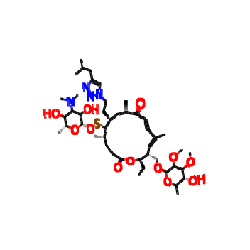 CC[C@H]1OC(=O)CC[C@H](C)C(SO[C@@H]2O[C@H](C)[C@@H](O)C(N(C)C)C2O)[C@@H](CCn2cc(CC(C)C)nn2)C[C@@H](C)C(=O)/C=C/C(C)=C/[C@@H]1CO[C@@H]1OC(C)[C@@H](O)[C@H](OC)C1OC